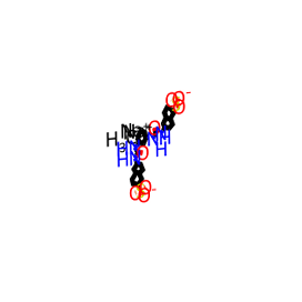 Cc1ccc(NC(=O)Nc2ccc3cc(S(=O)(=O)[O-])ccc3c2)cc1NC(=O)Nc1ccc2cc(S(=O)(=O)[O-])ccc2c1.[Na+].[Na+]